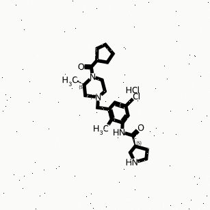 Cc1c(CN2CCN(C(=O)C3CCCC3)[C@@H](C)C2)cc(Cl)cc1NC(=O)[C@H]1CCNC1.Cl